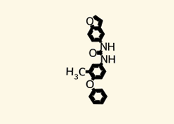 Cc1cc(NC(=O)Nc2ccc3occc3c2)ccc1Oc1ccccc1